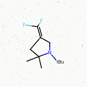 CC(C)(C)N1CC(=C(F)F)CC1(C)C